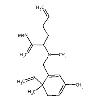 C=CCCC(C(=C)NC)N(C)CC1=CC(C)=CCC1(C)C=C